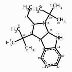 CCC1C(C(C)(C)C)C2c3cnccc3NC2N1C(C)(C)C